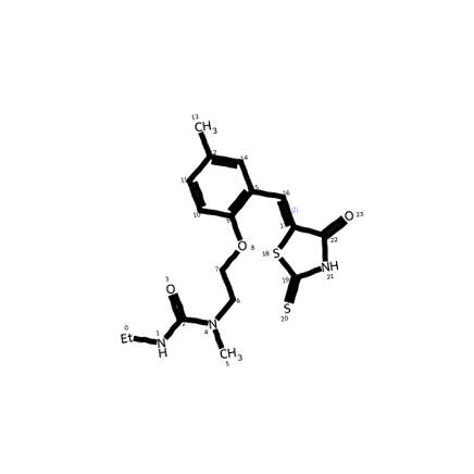 CCNC(=O)N(C)CCOc1ccc(C)cc1/C=C1\SC(=S)NC1=O